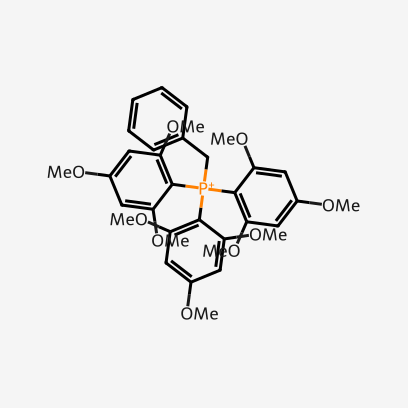 COc1cc(OC)c([P+](Cc2ccccc2)(c2c(OC)cc(OC)cc2OC)c2c(OC)cc(OC)cc2OC)c(OC)c1